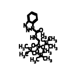 C[Si](C)(C)O[Si](CNC(=O)n1nnc2ccccc21)(O[Si](C)(C)C)O[Si](C)(C)C